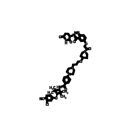 CC1(C)[C@H](NC(=O)c2ccc(N3CCN(CCCOC4CCN(C(=O)COc5ccc6nnn(C7CCC(=O)NC7=O)c(=O)c6c5)CC4)CC3)cc2)C(C)(C)[C@H]1Oc1ccc(C#N)c(Cl)c1